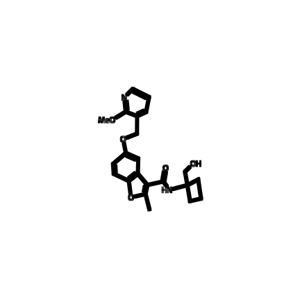 COc1ncccc1COc1ccc2oc(C)c(C(=O)NC3(CO)CCC3)c2c1